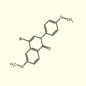 COc1ccc(-n2cc(Br)c3cc(OC)ccc3c2=O)cc1